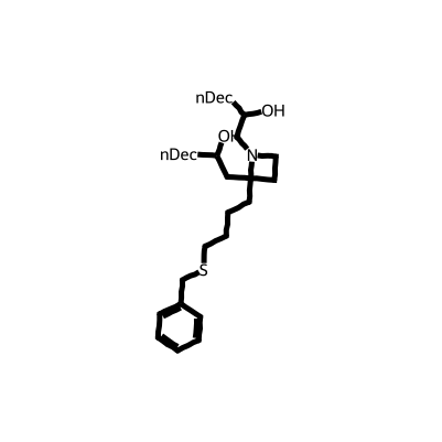 CCCCCCCCCCC(O)CN1CCC1(CCCCSCc1ccccc1)CC(O)CCCCCCCCCC